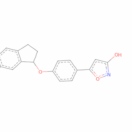 Oc1cc(-c2ccc(OC3CCc4ccc(Cl)cc43)cc2)on1